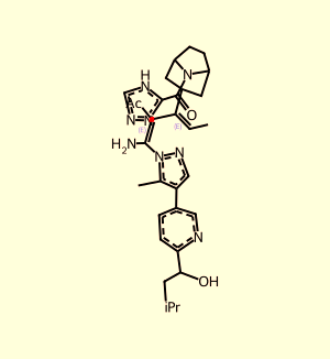 C/C=C(/C(C(C)=O)=C(/N)n1ncc(-c2ccc(C(O)CC(C)C)nc2)c1C)C1CC2CCC(C1)N2C(=O)c1nnc[nH]1